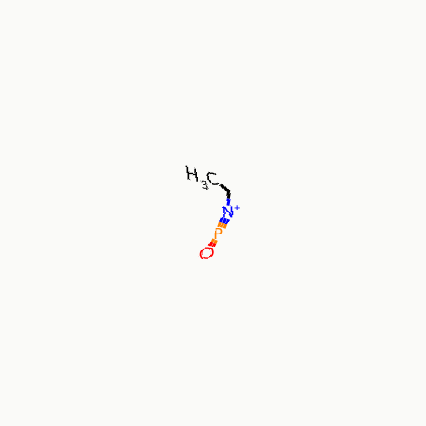 CC[N+]#P=O